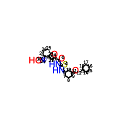 O=C(NC(=S)Nc1cccc(OCc2ccccc2)c1)c1cc2c(o1)CCC/C2=N\O